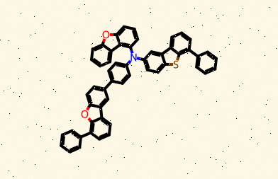 c1ccc(-c2cccc3c2oc2ccc(-c4ccc(N(c5ccc6sc7c(-c8ccccc8)cccc7c6c5)c5cccc6oc7ccccc7c56)cc4)cc23)cc1